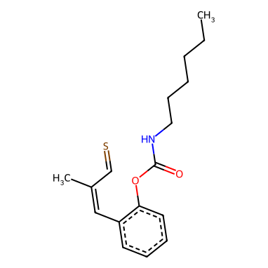 CCCCCCNC(=O)Oc1ccccc1C=C(C)C=S